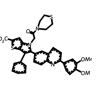 COc1ccc(-c2ccc3cc(-c4c(-c5ccccc5)c5sc(C(=O)O)cc5n4CC(=O)N4CCSCC4)ccc3n2)cc1OC